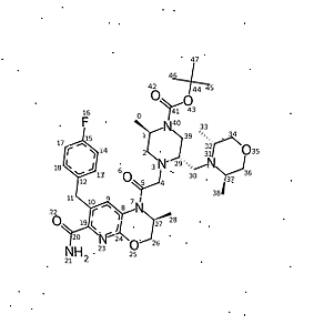 C[C@@H]1CN(CC(=O)N2c3cc(Cc4ccc(F)cc4)c(C(N)=O)nc3OC[C@@H]2C)[C@@H](CN2[C@H](C)COC[C@H]2C)CN1C(=O)OC(C)(C)C